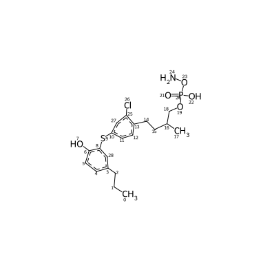 CCCc1ccc(O)c(Sc2ccc(CCC(C)COP(=O)(O)ON)c(Cl)c2)c1